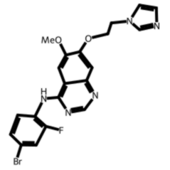 COc1cc2c(Nc3ccc(Br)cc3F)ncnc2cc1OCCn1ccnc1